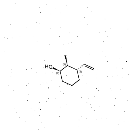 C=C[C@@H]1CCC[C@@H](O)[C@H]1C